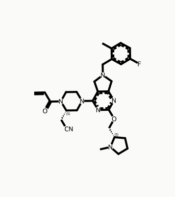 C=CC(=O)N1CCN(c2nc(OC[C@@H]3CCCN3C)nc3c2CN(Cc2cc(F)ccc2C)C3)C[C@@H]1CC#N